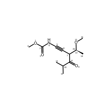 COC(=O)NC#CC(C(=O)C(C)C)[C@H](C)OC